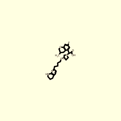 CC1COc2cc(F)cc(C(C(=O)O)N3CC[C@@H](OCCCCc4ccc5c(n4)NCCC5)C3)c2C1